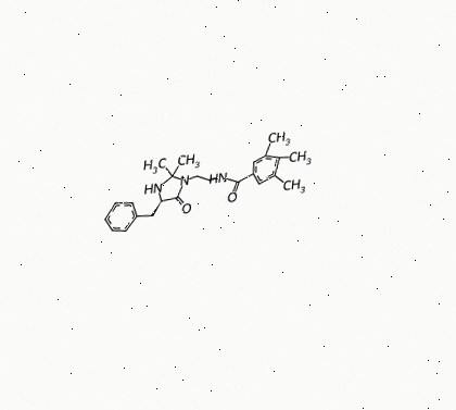 Cc1cc(C(=O)NCCN2C(=O)[C@@H](Cc3ccccc3)NC2(C)C)cc(C)c1C